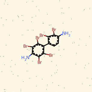 Nc1ccc(-c2c(Br)c(Br)c(N)c(Br)c2Br)c(Br)c1Br